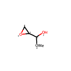 COC(O)C1CO1